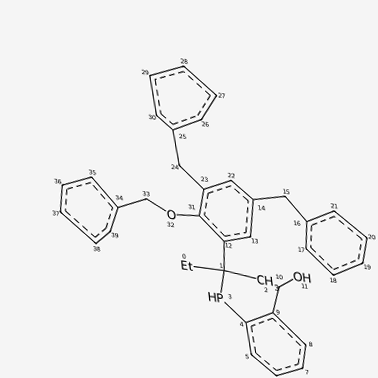 CCC(C)(Pc1ccccc1CO)c1cc(Cc2ccccc2)cc(Cc2ccccc2)c1OCc1ccccc1